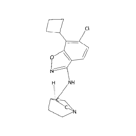 Clc1ccc2c(N[C@H]3CN4CCC3CC4)noc2c1C1CCC1